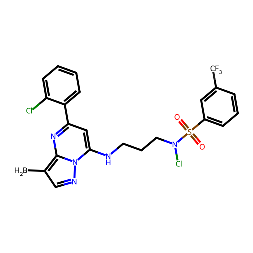 Bc1cnn2c(NCCCN(Cl)S(=O)(=O)c3cccc(C(F)(F)F)c3)cc(-c3ccccc3Cl)nc12